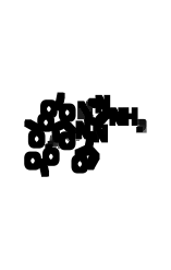 CC(=O)OC[C@H]1O[C@@H](n2c(-c3ccoc3)nc3c(N)ncnc32)C(OC(C)=O)C1OC(C)=O